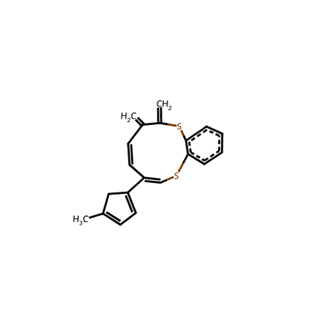 C=C1/C=C\C(C2=CC=C(C)C2)=C/Sc2ccccc2SC1=C